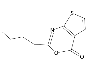 CCCCc1nc2sccc2c(=O)o1